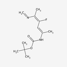 C=N/C(C)=C(F)\C=C(/C)NC(=O)OC(C)(C)C